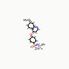 CCS(=O)(=NS(C)(C)C(C)C)c1ccc(Oc2ccnc3cc(OC)ccc23)cc1